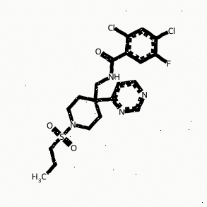 CCCS(=O)(=O)N1CCC(CNC(=O)c2cc(F)c(Cl)cc2Cl)(c2ccncn2)CC1